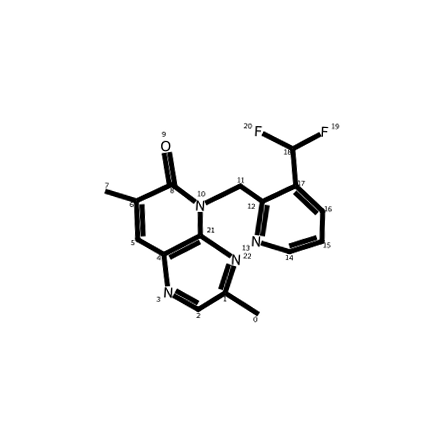 Cc1cnc2cc(C)c(=O)n(Cc3ncccc3C(F)F)c2n1